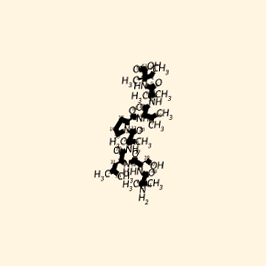 CC[C@](C)(NC(=O)C(C)(C)NC(=O)[C@@H](NC(=O)[C@@H]1CCCN1C(=O)C(C)(C)NC(=O)[C@H](CC(C)C)NC(=O)[C@H](CO)NC(=O)C(C)(C)N)C(C)C)C(=O)O